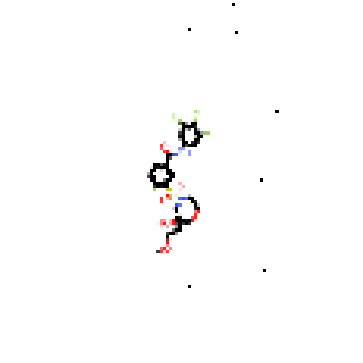 COCCC1(O)COCCN(S(=O)(=O)c2cc(C(=O)Nc3cc(F)c(F)c(F)c3)ccc2F)C1